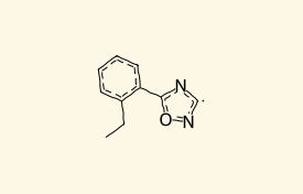 CCc1ccccc1-c1n[c]no1